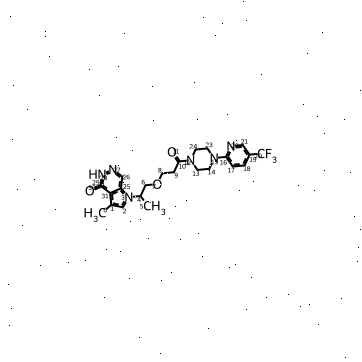 Cc1cn(C(C)COCCC(=O)N2CCN(c3ccc(C(F)(F)F)cn3)CC2)c2cn[nH]c(=O)c12